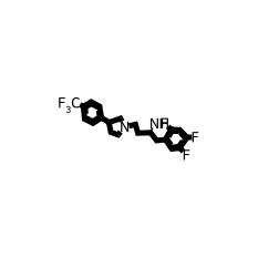 N[C@@H](CCN1CCC(c2ccc(C(F)(F)F)cc2)C1)Cc1cc(F)c(F)cc1F